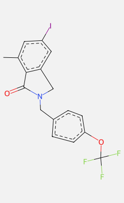 Cc1cc(I)cc2c1C(=O)N(Cc1ccc(OC(F)(F)F)cc1)C2